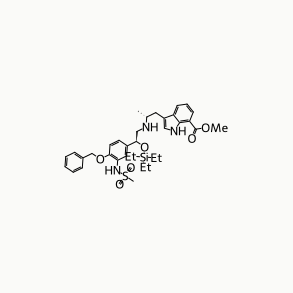 CC[Si](CC)(CC)O[C@H](CN[C@H](C)Cc1c[nH]c2c(C(=O)OC)cccc12)c1ccc(OCc2ccccc2)c(NS(C)(=O)=O)c1